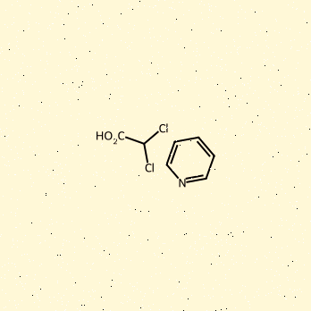 O=C(O)C(Cl)Cl.c1ccncc1